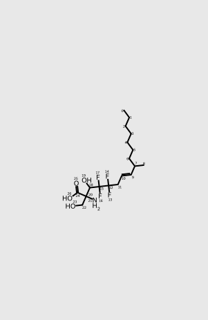 CCCCCCCC(C)/C=C/CC(F)(F)C(F)(F)C(O)C(N)(CO)C(=O)O